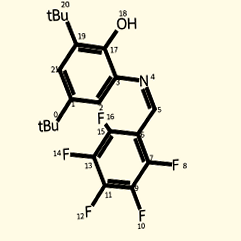 CC(C)(C)c1cc(/N=C\c2c(F)c(F)c(F)c(F)c2F)c(O)c(C(C)(C)C)c1